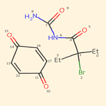 CCC(Br)(CC)C(=O)NC(N)=O.O=C1C=CC(=O)C=C1